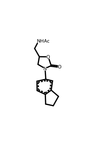 CC(=O)NCC1CN(c2ccc3c(c2)CCC3)C(=O)O1